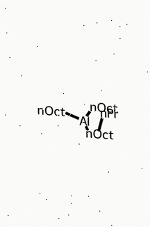 CCCC.CCCCCCC[CH2][Al]([CH2]CCCCCCC)[CH2]CCCCCCC